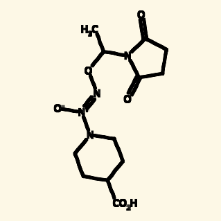 CC(ON=[N+]([O-])N1CCC(C(=O)O)CC1)N1C(=O)CCC1=O